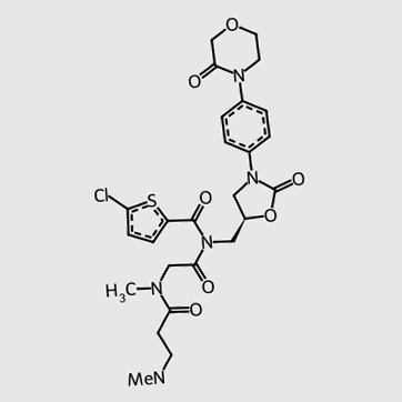 CNCCC(=O)N(C)CC(=O)N(C[C@H]1CN(c2ccc(N3CCOCC3=O)cc2)C(=O)O1)C(=O)c1ccc(Cl)s1